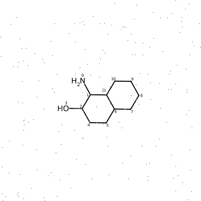 NC1C(O)CCC2CCCCC21